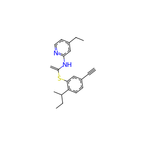 C#Cc1ccc(C(C)CC)c(SC(=C)Nc2cc(CC)ccn2)c1